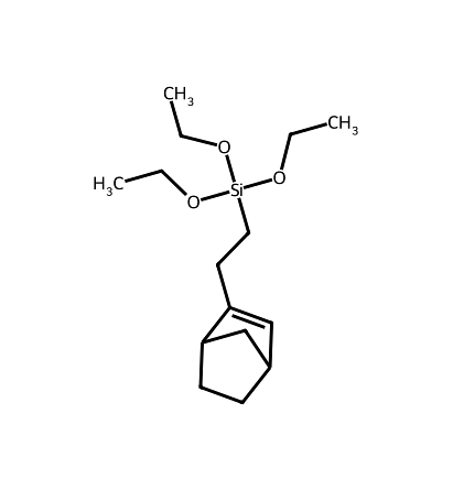 CCO[Si](CCC1=CC2CCC1C2)(OCC)OCC